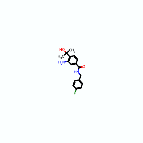 CC(C)(O)c1ccc(C(=O)NCc2ccc(F)cc2)cc1N